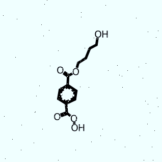 O=C(OO)c1ccc(C(=O)OCCCCO)cc1